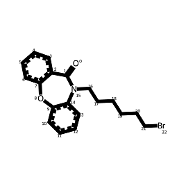 O=C1c2ccccc2Oc2ccccc2N1CCCCCCBr